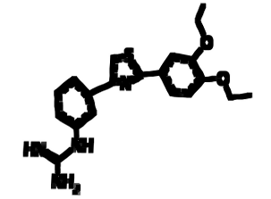 CCOc1ccc(-c2nc(-c3cccc(NC(=N)N)c3)cs2)cc1OCC